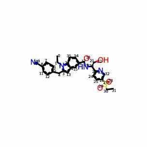 CCn1c(Cc2ccc(C#N)cc2)cc2cc(C(=O)N[C@@H](CO)c3ccc(S(=O)(=O)CC)cn3)ccc21